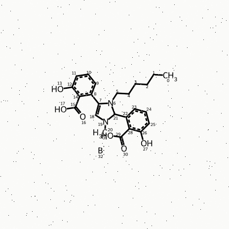 CCCCCCN1C(c2cccc(O)c2C(=O)O)=CN(C)C1c1cccc(O)c1C(=O)O.[B]